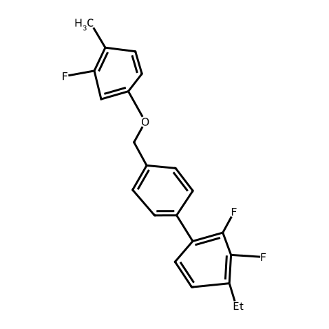 CCc1ccc(-c2ccc(COc3ccc(C)c(F)c3)cc2)c(F)c1F